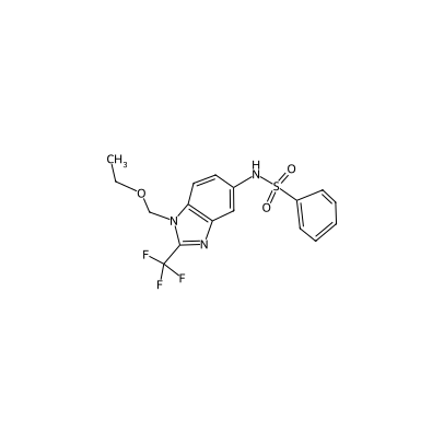 CCOCn1c(C(F)(F)F)nc2cc(NS(=O)(=O)c3ccccc3)ccc21